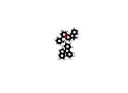 CC1(C)c2ccccc2-c2ccc(N(c3ccc4c(c3)C3(CCc5ccccc53)c3ccccc3-4)c3ccccc3-c3ccccc3)cc21